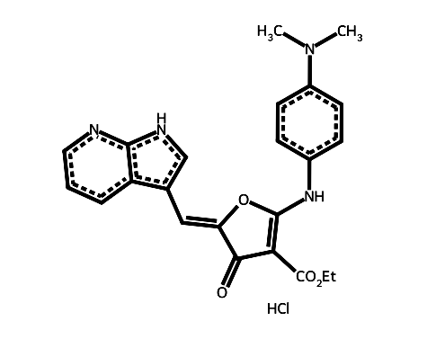 CCOC(=O)C1=C(Nc2ccc(N(C)C)cc2)O/C(=C\c2c[nH]c3ncccc23)C1=O.Cl